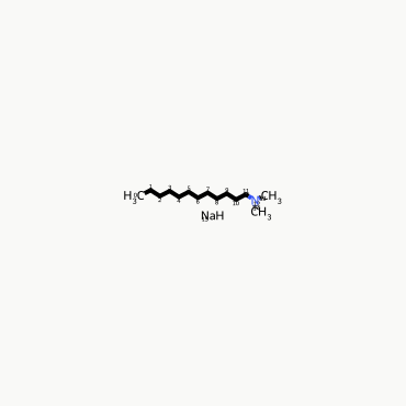 CCCCCCCCCCCCN(C)C.[NaH]